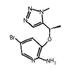 C[C@@H](Oc1cc(Br)cnc1N)c1cnnn1C